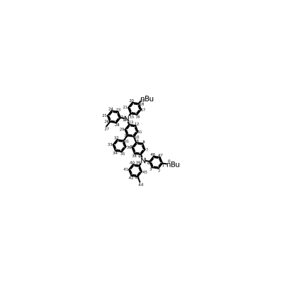 CCCCc1ccc(N(c2ccc(-c3ccc(N(c4ccc(CCCC)cc4)c4cccc(C)c4)cc3-c3ccccc3)cc2)c2cccc(C)c2)cc1